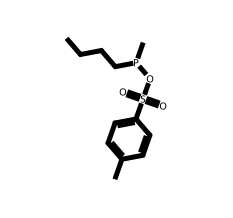 CCCCP(C)OS(=O)(=O)c1ccc(C)cc1